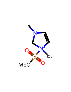 CC[N+]1(S(=O)(=O)OC)C=CN(C)C1